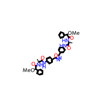 COC(C(=O)N[C@@H](C)C(=O)Nc1ccc(-c2nnc(-c3ccc(NC(=O)[C@H](C)NC(=O)C(OC)c4ccccc4)cc3)o2)cc1)c1ccccc1